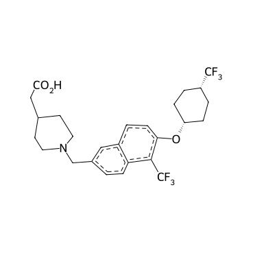 O=C(O)CC1CCN(Cc2ccc3c(C(F)(F)F)c(O[C@H]4CC[C@@H](C(F)(F)F)CC4)ccc3c2)CC1